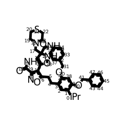 CC(C)c1cc(CCc2onc(C(N)=O)c2C2=CC(CN3CCSCC3)(C(N)=O)NO2)c(OCc2ccccc2)cc1OCc1ccccc1